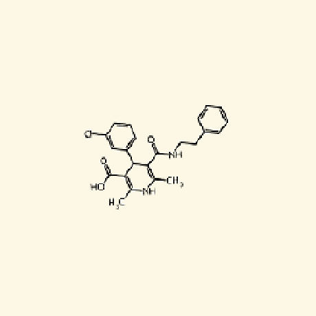 CC1=C(C(=O)O)C(c2cccc(Cl)c2)C(C(=O)NCCc2ccccc2)=C(C)N1